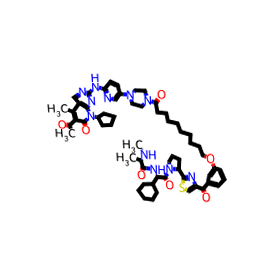 CNC(C)C(=O)N[C@H](C(=O)N1CCCC1c1nc(C(=O)c2cccc(OCCCCCCCCCC(=O)N3CCN(c4ccc(Nc5ncc6c(C)c(C(C)=O)c(=O)n(C7CCCC7)c6n5)nc4)CC3)c2)cs1)C1CCCCC1